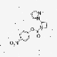 O=C(Oc1ccc([N+](=O)[O-])cc1)N1CCC1n1cccn1